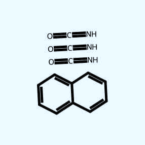 N=C=O.N=C=O.N=C=O.c1ccc2ccccc2c1